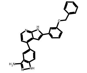 Nc1n[nH]c2ccc(-c3ccnc4[nH]c(-c5cccc(OCc6ccccc6)c5)cc34)cc12